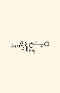 COC(=O)NC(=S)Nc1ccc(OCCOc2ccccc2)cc1N